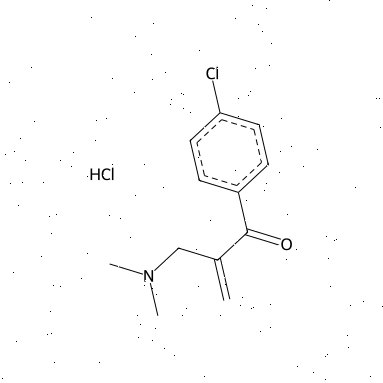 C=C(CN(C)C)C(=O)c1ccc(Cl)cc1.Cl